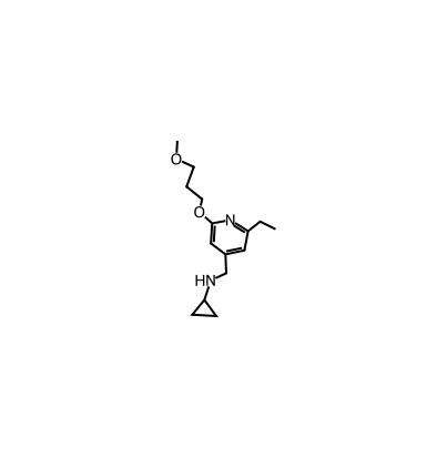 CCc1cc(CNC2CC2)cc(OCCCOC)n1